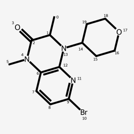 CC1C(=O)N(C)c2ccc(Br)nc2N1C1CCOCC1